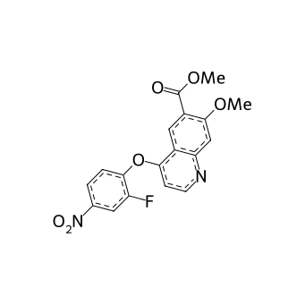 COC(=O)c1cc2c(Oc3ccc([N+](=O)[O-])cc3F)ccnc2cc1OC